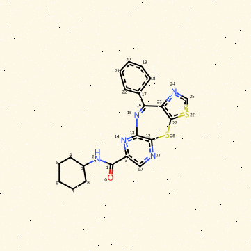 O=C(NC1CCCCC1)c1cnc2c(n1)N=C(c1ccccc1)c1ncsc1S2